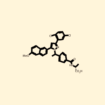 COc1ccc2cc(-c3cc(-c4cc(Cl)ccc4Cl)nn3C(C)c3ccc(C(=O)N[C@H](C)C(=O)O)cc3)ccc2c1